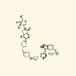 CC1(Oc2ccc3n[nH]c(-c4cc(N5CC(OC6CCN(CC7CCN(c8ccc9c(c8F)CN(C8CCC(=O)NC8=O)C9=O)CC7)CC6)C5)ncn4)c3c2)CC1